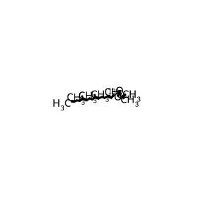 CC(C)=CCC/C(C)=C/CC/C(C)=C/CC/C(C)=C/CO[13C](=O)C(C)C